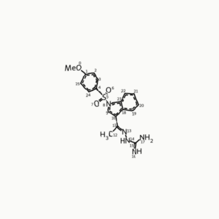 COc1ccc(S(=O)(=O)n2cc(C(C)=NNC(=N)N)c3ccccc32)cc1